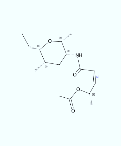 CC[C@@H]1O[C@H](C)[C@H](NC(=O)/C=C\[C@H](C)OC(C)=O)C[C@@H]1C